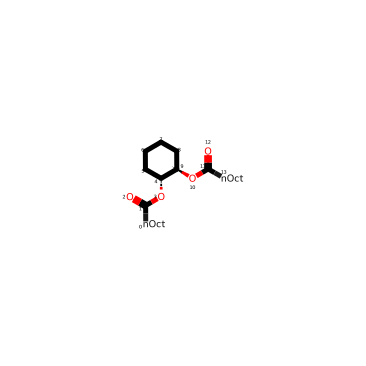 CCCCCCCCC(=O)O[C@@H]1CCCC[C@H]1OC(=O)CCCCCCCC